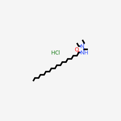 CCCCCCCCCCCCCCCCCC(=O)NC(C)N(CC)CC.Cl